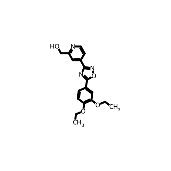 CCOc1ccc(-c2nc(-c3ccnc(CO)c3)no2)cc1OCC